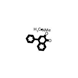 CNC.O=C1C=C(c2ccccc2)c2ccccc2C1=O